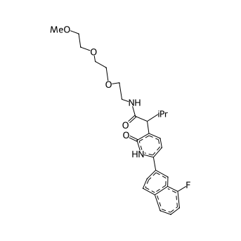 COCCOCCOCCNC(=O)C(c1ccc(-c2ccc3cccc(F)c3c2)[nH]c1=O)C(C)C